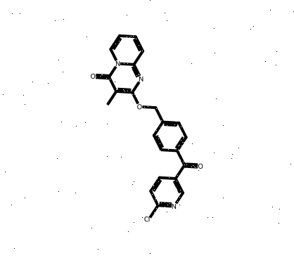 Cc1c(OCc2ccc(C(=O)c3ccc(Cl)nc3)cc2)nc2ccccn2c1=O